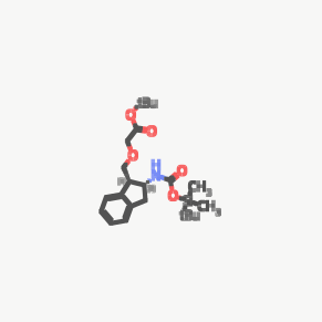 CC(C)(C)OC(=O)COC[C@@H]1c2ccccc2C[C@H]1NC(=O)O[Si](C)(C)C(C)(C)C